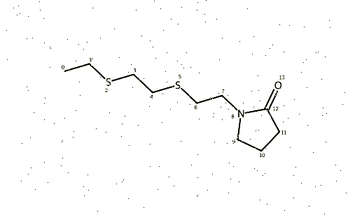 CCSCCSCCN1CCCC1=O